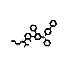 C=C/C=C\C=C(/C(=C)C)c1cccc(-c2ccc(N(c3ccccc3)c3ccc(-c4ccccc4)cc3)cc2-c2ccccc2)c1C